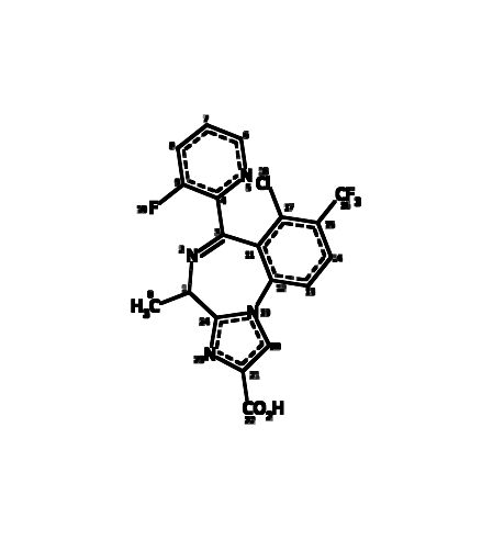 CC1N=C(c2ncccc2F)c2c(ccc(C(F)(F)F)c2Cl)-n2cc(C(=O)O)nc21